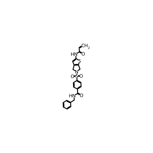 C=CC(=O)Nc1cc2c(s1)CN(S(=O)(=O)c1ccc(C(=O)NCc3ccccc3)cc1)C2